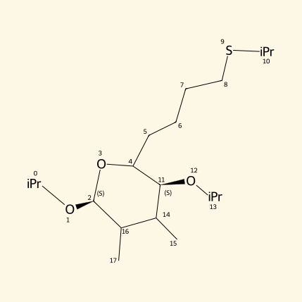 CC(C)O[C@H]1OC(CCCCSC(C)C)[C@@H](OC(C)C)C(C)C1C